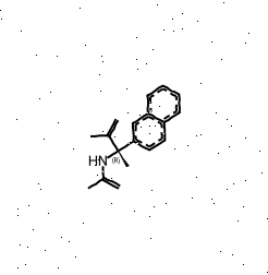 C=C(C)N[C@](C)(C(=C)C)c1ccc2ccccc2c1